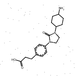 NC1CCC(N2CCN(c3ccc(CCC(=O)O)cc3)C2=O)CC1